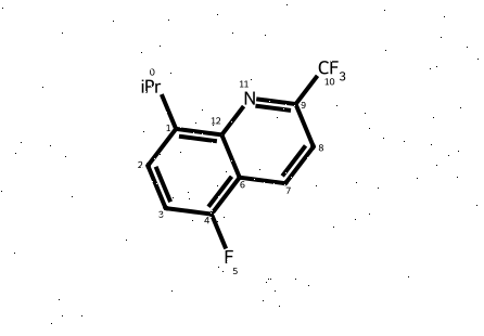 CC(C)c1ccc(F)c2ccc(C(F)(F)F)nc12